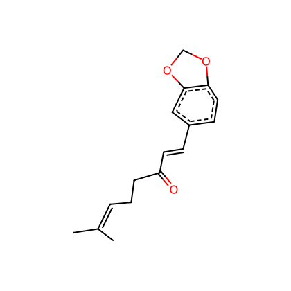 CC(C)=CCCC(=O)C=Cc1ccc2c(c1)OCO2